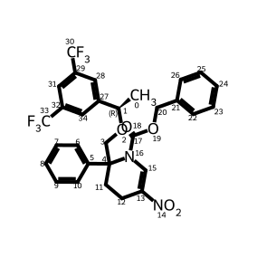 C[C@@H](OCC1(c2ccccc2)CCC([N+](=O)[O-])=CN1C(=O)OCc1ccccc1)c1cc(C(F)(F)F)cc(C(F)(F)F)c1